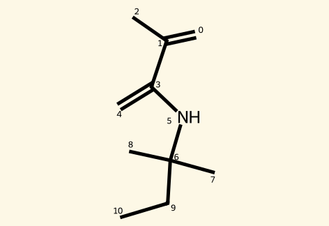 C=C(C)C(=C)NC(C)(C)CC